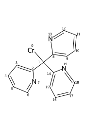 [Cr][C](c1ccccn1)(c1ccccn1)c1ccccn1